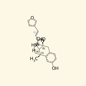 CN1CC[C@@]2(C)c3cc(O)ccc3C[C@@H]1[C@@H]2NC(=O)/C=C/c1ccoc1